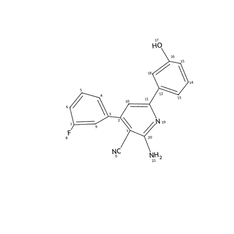 N#Cc1c(-c2cccc(F)c2)cc(-c2cccc(O)c2)nc1N